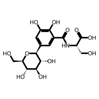 O=C(N[C@@H](CO)C(=O)O)c1cc([C@@H]2O[C@H](CO)[C@@H](O)[C@H](O)[C@H]2O)cc(O)c1O